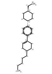 CCCCCC1CC=C(c2ccc([C@H]3CC[C@H](CC)CC3)cc2)CC1